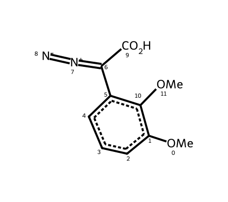 COc1cccc(C(=[N+]=[N-])C(=O)O)c1OC